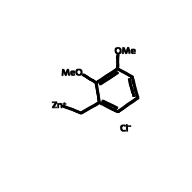 COc1cccc([CH2][Zn+])c1OC.[Cl-]